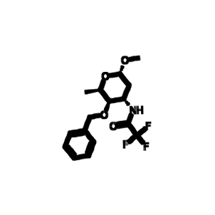 CO[C@@H]1C[C@H](NC(=O)C(F)(F)F)[C@@H](OCc2ccccc2)[C@@H](C)O1